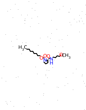 CCCCCCCCCOC(=O)N1CCC[C@H]1C(=O)NCCCCOC